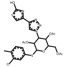 CC(=O)OCC1OC(Sc2ccc(C)c(Cl)c2)C(OC(C)=O)C(n2cc(-c3csc(O)n3)nn2)C1OC(C)=O